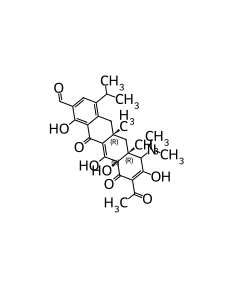 CC(=O)C1=C(O)C(N(C)C)[C@@]2(C)C[C@@]3(C)Cc4c(C(C)C)cc(C=O)c(O)c4C(=O)C3=C(O)[C@@]2(O)C1=O